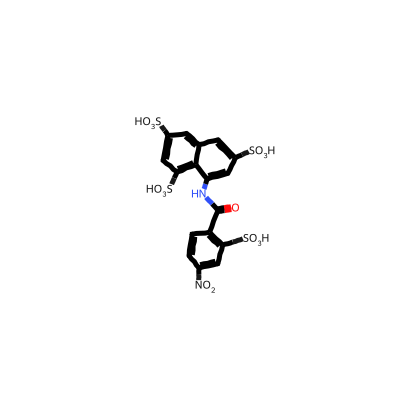 O=C(Nc1cc(S(=O)(=O)O)cc2cc(S(=O)(=O)O)cc(S(=O)(=O)O)c12)c1ccc([N+](=O)[O-])cc1S(=O)(=O)O